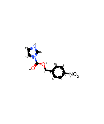 O=C(OCc1ccc([N+](=O)[O-])cc1)n1ccnc1